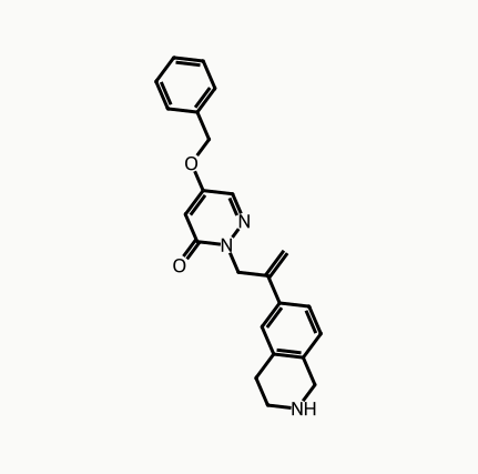 C=C(Cn1ncc(OCc2ccccc2)cc1=O)c1ccc2c(c1)CCNC2